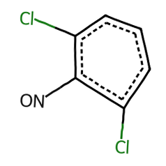 O=Nc1c(Cl)cccc1Cl